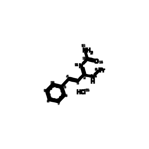 CC(C)NC(C=Cc1ccccc1)=NC(N)=O.Cl